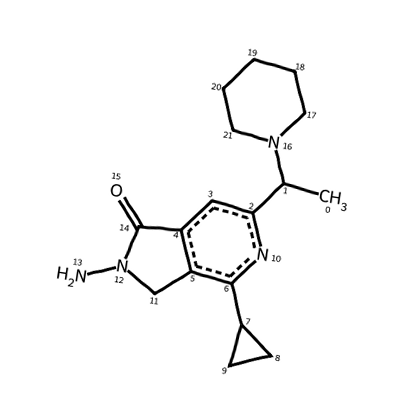 CC(c1cc2c(c(C3CC3)n1)CN(N)C2=O)N1CCCCC1